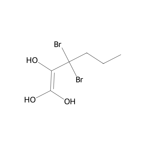 CCCC(Br)(Br)C(O)=C(O)O